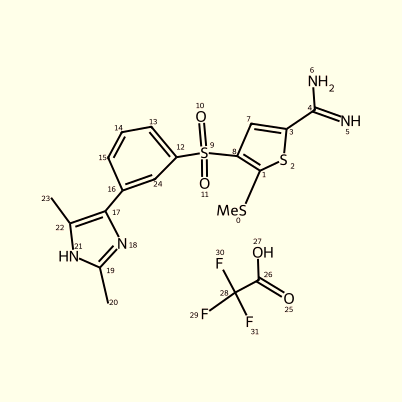 CSc1sc(C(=N)N)cc1S(=O)(=O)c1cccc(-c2nc(C)[nH]c2C)c1.O=C(O)C(F)(F)F